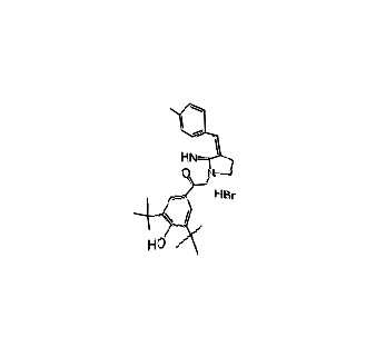 Br.Cc1ccc(C=C2CCN(CC(=O)c3cc(C(C)(C)C)c(O)c(C(C)(C)C)c3)C2=N)cc1